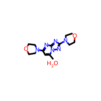 Cc1cc(N2CCOCC2)nc2nc(N3CCOCC3)nn12.O